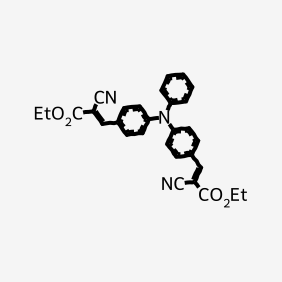 CCOC(=O)/C(C#N)=C/c1ccc(N(c2ccccc2)c2ccc(/C=C(\C#N)C(=O)OCC)cc2)cc1